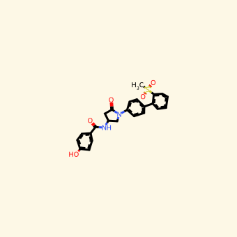 CS(=O)(=O)c1ccccc1-c1ccc(N2CC(NC(=O)c3ccc(O)cc3)CC2=O)cc1